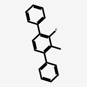 Cc1c(-c2ccccc2)ccc(-c2ccccc2)c1F